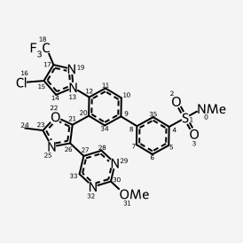 CNS(=O)(=O)c1cccc(-c2ccc(-n3cc(Cl)c(C(F)(F)F)n3)c(-c3oc(C)nc3-c3cnc(OC)nc3)c2)c1